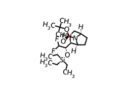 CC[Si](CC)(CC)O[C@H](C(F)F)[C@H]1NC[C@H]2CC[C@@H]1N2C(=O)OC(C)(C)C